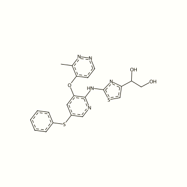 Cc1nnccc1Oc1cc(Sc2ccccc2)cnc1Nc1nc(C(O)CO)cs1